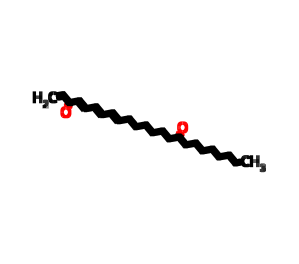 C=CC(=O)C=CC=CC=CCCCCCCC(=O)CCCCCCCC